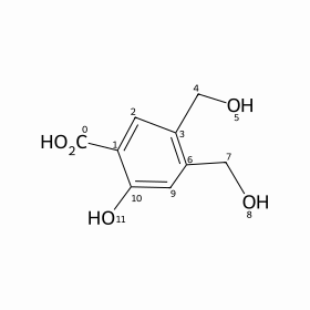 O=C(O)c1cc(CO)c(CO)cc1O